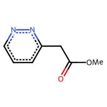 COC(=O)Cc1cccnn1